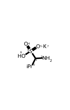 CC(C)C(N)S(=O)(=O)O.[K]